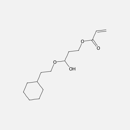 C=CC(=O)OCCC(O)OCCC1CCCCC1